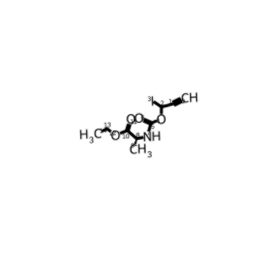 C#CC(I)OC(=O)N[C@@H](C)C(=O)OCC